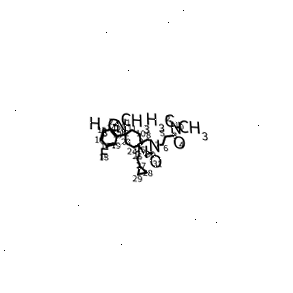 CN(C)C(=O)CCN1CC2(CCC(c3cccc(F)c3)(N(C)C)CC2)N(CC2CC2)C1=O